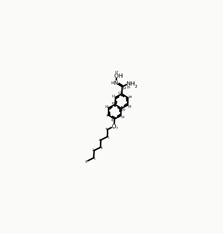 CCCCCCCOc1ccc2cc(C(N)=NO)ccc2c1